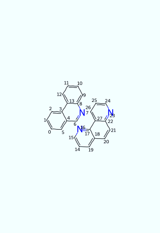 c1ccc2c(c1)cnc1ccccc12.c1cnc2c(c1)ccc1ncccc12